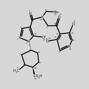 CC1C[C@H](n2ncc(C(=O)N(CC(=O)c3c(Cl)cncc3Cl)CC(C)(C)C)c2C(F)(F)F)CC[C@H]1C(=O)O